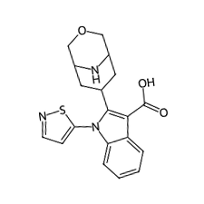 O=C(O)c1c(C2CC3COCC(C2)N3)n(-c2ccns2)c2ccccc12